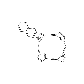 CC(=O)On1c2ccc1cc1nc(cc3ccc(cc4nc(c2)C=C4)[nH]3)C=C1.c1ccc2ncccc2c1